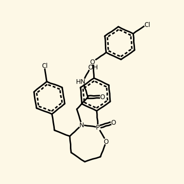 O=C(CN1C(Cc2ccc(Cl)cc2)CCCOP1(=O)c1ccc(Oc2ccc(Cl)cc2)cc1)NO